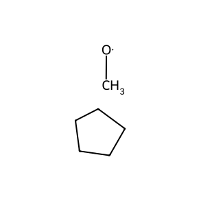 C1CCCC1.C[O]